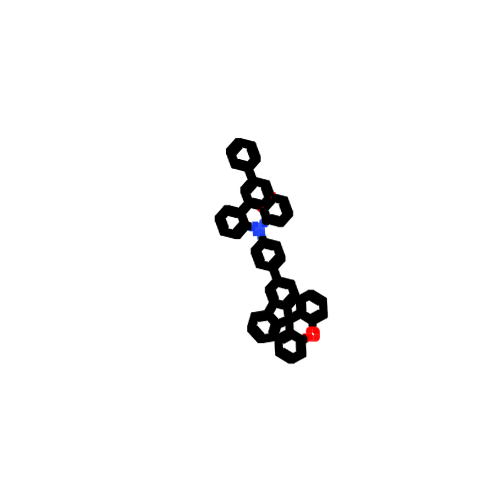 c1ccc(-c2cccc(-c3ccccc3N(c3ccccc3)c3ccc(-c4ccc5c(c4)-c4ccccc4C54c5ccccc5Oc5ccccc54)cc3)c2)cc1